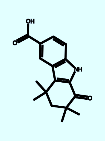 CC1(C)CC(C)(C)c2c([nH]c3ccc(C(=O)O)cc23)C1=O